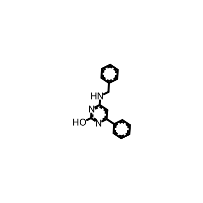 Oc1nc(NCc2ccccc2)cc(-c2ccccc2)n1